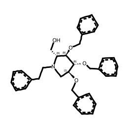 OC[C@@H]1[C@@H](OCc2ccccc2)[C@H](OCc2ccccc2)[C@@H](OCc2ccccc2)CN1CCc1ccccc1